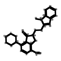 COc1ccc(N2CCOCC2)c2c1CN(CCc1nc3ccccc3n1C)C2=O